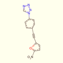 O=[N+]([O-])c1ccc(C#Cc2ccc(-n3cnnn3)cc2)o1